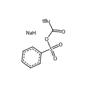 CC(C)(C)C(=O)OS(=O)(=O)c1ccccc1.[NaH]